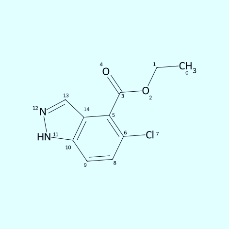 CCOC(=O)c1c(Cl)ccc2[nH]ncc12